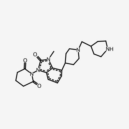 Cn1c(=O)n(N2C(=O)CCCC2=O)c2cccc(C3CCN(CC4CCNCC4)CC3)c21